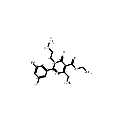 CCOC(=O)c1c(CC)nc(-c2cc(F)cc(F)c2)n(CCOC)c1=O